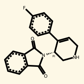 O=C1c2ccccc2C(=O)N1[C@H]1CNCC=C1c1ccc(F)cc1